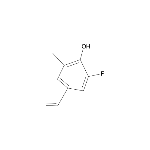 C=Cc1cc(C)c(O)c(F)c1